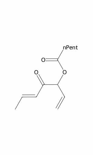 C=CC(OC(=O)CCCCC)C(=O)C=CC